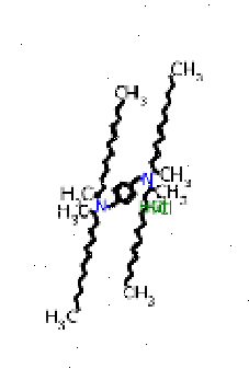 CCCCCCCCCCCCC(C)N(Cc1ccc(CN(C(C)CCCCCCCCCCCC)C(C)CCCCCCCCCCCC)cc1)C(C)CCCCCCCCCCCC.Cl.Cl